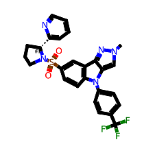 Cn1cc2c(n1)c1cc(S(=O)(=O)N3CCC[C@@H]3c3ccccn3)ccc1n2-c1ccc(C(F)(F)F)cc1